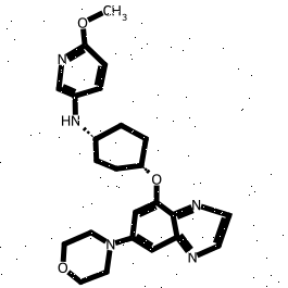 COc1ccc(N[C@H]2CC[C@@H](Oc3cc(N4CCOCC4)cc4nccnc34)CC2)cn1